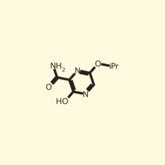 CC(C)Oc1cnc(O)c(C(N)=O)n1